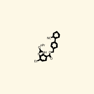 CCCOc1nc2c(CC)ccc(C(=O)OCc3ccc(-c4ccccc4C#N)cc3)c2[nH]1